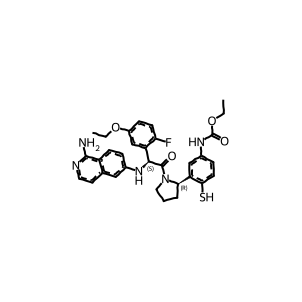 CCOC(=O)Nc1ccc(S)c([C@H]2CCCN2C(=O)[C@@H](Nc2ccc3c(N)nccc3c2)c2cc(OCC)ccc2F)c1